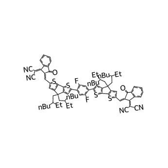 CCCCC(CC)CC1(CC(CC)CCCC)c2cc(/C=C3\C(=O)c4ccccc4C3=C(C#N)C#N)sc2-c2sc(-c3cc(F)c(-c4cc5c(s4)-c4sc(/C=C6\C(=O)c7ccccc7C6=C(C#N)C#N)cc4C5(CC(CC)CCCC)CC(CC)CCCC)cc3F)cc21